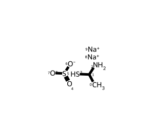 CC(N)S.O=S([O-])[O-].[Na+].[Na+]